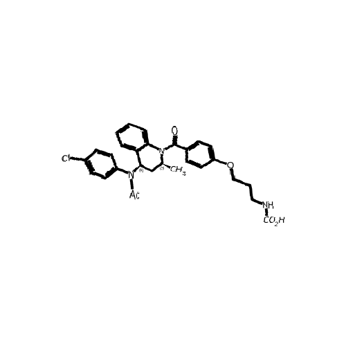 CC(=O)N(c1ccc(Cl)cc1)[C@@H]1C[C@H](C)N(C(=O)c2ccc(OCCCNC(=O)O)cc2)c2ccccc21